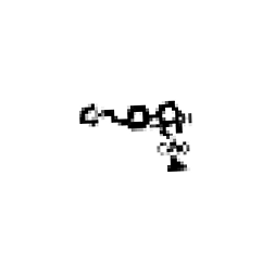 O=S(=O)(C1CC1)N1C[C@H]2CCC=C(c3ccc(CCN4CCCC4)cc3)[C@H]2C1